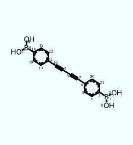 OB(O)c1ccc(C#CC#Cc2ccc(B(O)O)cc2)cc1